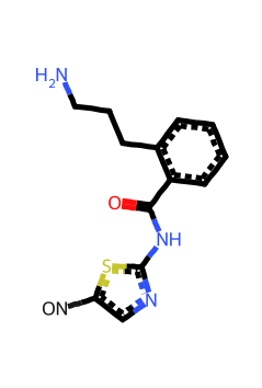 NCCCc1ccccc1C(=O)Nc1ncc(N=O)s1